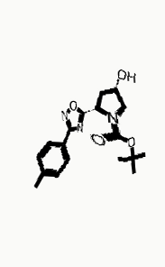 Cc1ccc(-c2noc([C@@H]3C[C@H](O)CN3C(=O)OC(C)(C)C)n2)cc1